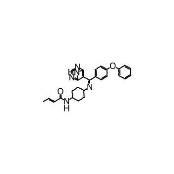 C/C=C/C(=O)NC1CCC(/N=C(/c2ccc(Oc3ccccc3)cc2)c2c3ncnc2N3)CC1